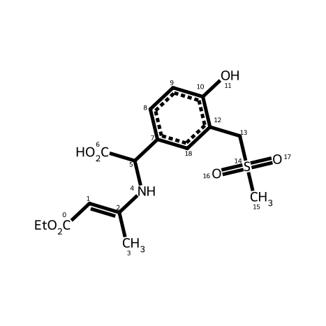 CCOC(=O)C=C(C)NC(C(=O)O)c1ccc(O)c(CS(C)(=O)=O)c1